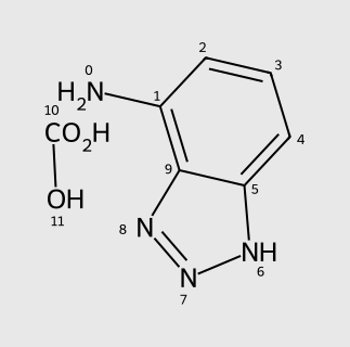 Nc1cccc2[nH]nnc12.O=C(O)O